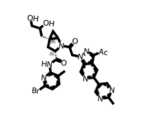 CC(=O)c1nn(CC(=O)N2C3C[C@]3(CC(O)CO)C[C@H]2C(=O)Nc2nc(Br)ccc2C)c2cnc(-c3cnc(C)nc3)cc12